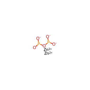 [O-]P([O-])OP([O-])[O-].[Zn+2].[Zn+2]